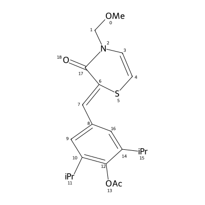 COCN1C=CS/C(=C\c2cc(C(C)C)c(OC(C)=O)c(C(C)C)c2)C1=O